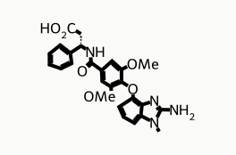 COc1cc(C(=O)N[C@@H](CC(=O)O)c2ccccc2)cc(OC)c1Oc1cccc2c1nc(N)n2C